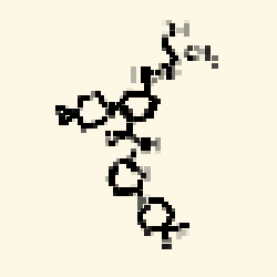 C[C@H](BNc1ccc(C(=O)Nc2cccc(N3CCC(F)(F)CC3)n2)c(N2CCC3(CC2)CC3)c1)CO